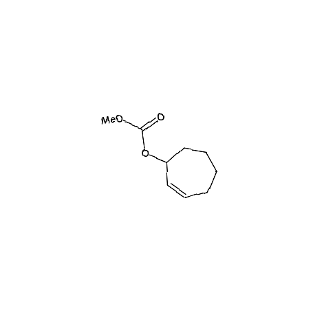 COC(=O)OC1C=CCCCC1